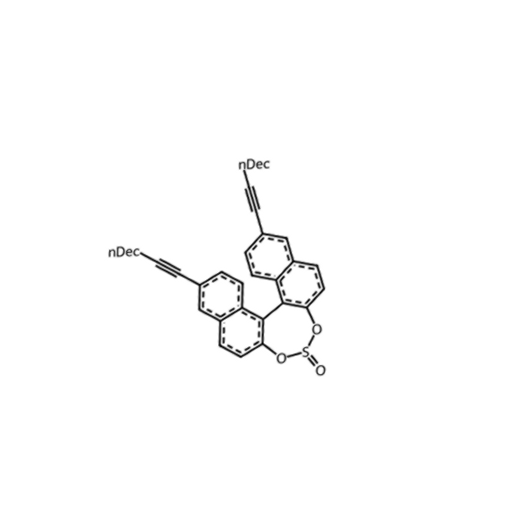 CCCCCCCCCCC#Cc1ccc2c3c(ccc2c1)OS(=O)Oc1ccc2cc(C#CCCCCCCCCCC)ccc2c1-3